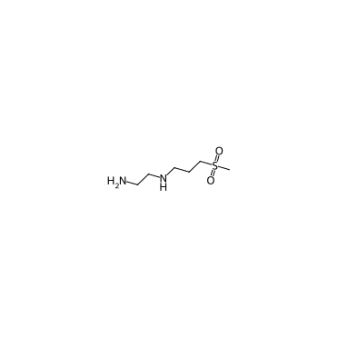 CS(=O)(=O)CCCNCCN